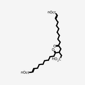 CCCCCCCCC=CCCCCCCCC(=O)CC(CC(=O)O)C(=O)CCCCCCCC=CCCCCCCCC